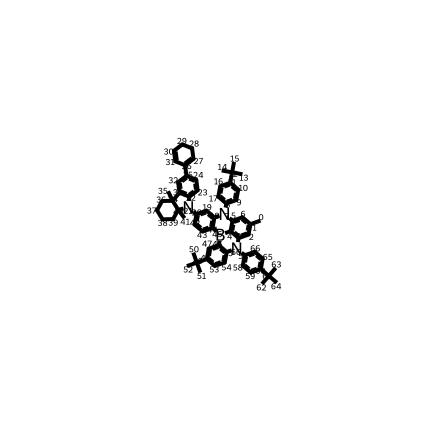 Cc1cc2c3c(c1)N(c1ccc(C(C)(C)C)cc1)c1cc(N4c5ccc(C6=CCCC=C6)cc5C5(C)CCCCC45C)ccc1B3c1cc(C(C)(C)C)ccc1N2c1ccc(C(C)(C)C)cc1